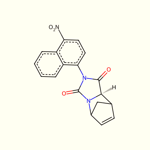 O=C1[C@H]2C3C=CC(C3)N2C(=O)N1c1ccc([N+](=O)[O-])c2ccccc12